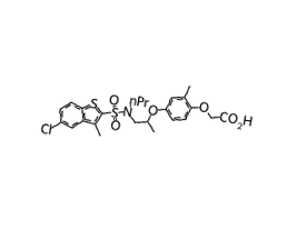 CCCN(CC(C)Oc1ccc(OCC(=O)O)c(C)c1)S(=O)(=O)c1sc2ccc(Cl)cc2c1C